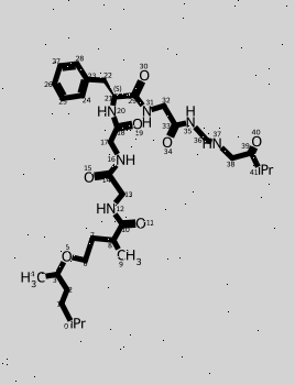 CC(C)CCC(C)OCCC(C)C(=O)NCC(=O)NCC(=O)N[C@@H](Cc1ccccc1)C(=O)NCC(=O)NCNCC(=O)C(C)C